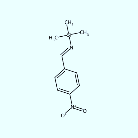 C[Si](C)(C)N=Cc1ccc([N+](=O)[O-])cc1